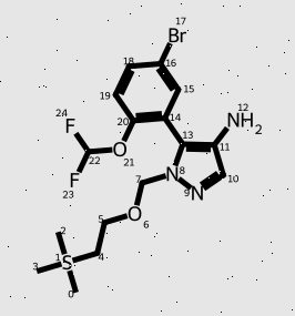 CS(C)(C)CCOCn1ncc(N)c1-c1cc(Br)ccc1OC(F)F